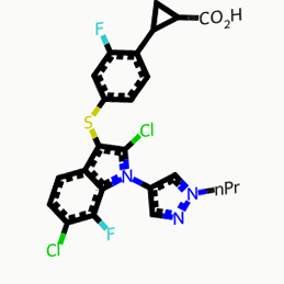 CCCn1cc(-n2c(Cl)c(Sc3ccc(C4CC4C(=O)O)c(F)c3)c3ccc(Cl)c(F)c32)cn1